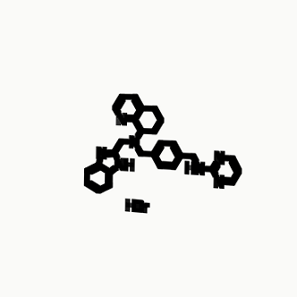 Br.c1cnc(NCc2ccc(CN(Cc3nc4ccccc4[nH]3)C3CCCc4cccnc43)cc2)nc1